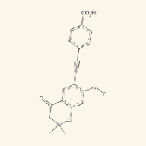 CCOC(=O)c1ccc(C#Cc2cc3c(cc2SF)OC(C)(C)CC3=O)cc1